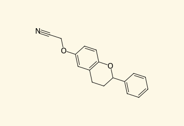 N#CCOc1ccc2c(c1)CCC(c1ccccc1)O2